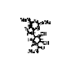 CNC(=O)[C@@]12C[C@@H]1[C@@H](n1cnc3c(NC)nc(SC)nc31)C(O)C2O